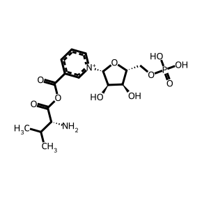 CC(C)[C@@H](N)C(=O)OC(=O)c1ccc[n+]([C@@H]2O[C@H](COP(=O)(O)O)[C@@H](O)[C@H]2O)c1